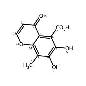 Cc1c(O)c(O)c(C(=O)O)c2c(=O)ccoc12